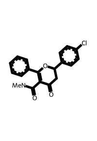 CNC(=O)C1=C(c2ccccc2)OC(c2ccc(Cl)cc2)CC1=O